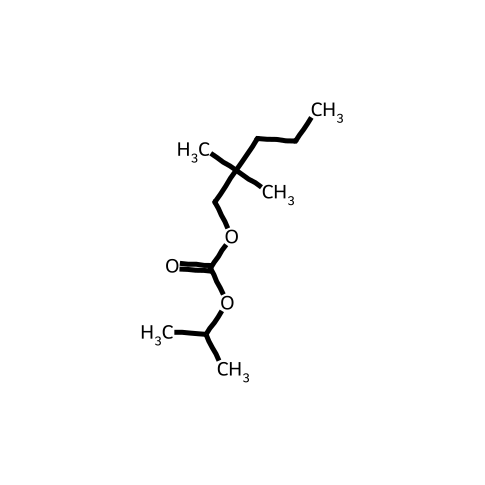 CCCC(C)(C)COC(=O)OC(C)C